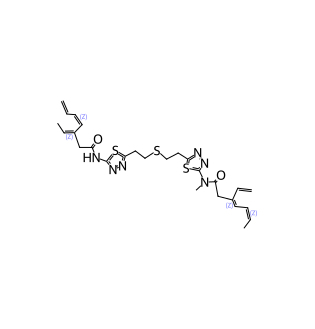 C=C/C=C\C(=C/C)CC(=O)Nc1nnc(CCSCCc2nnc(N(C)C(=O)C/C(C=C)=C/C=C\C)s2)s1